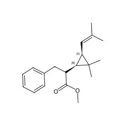 COC(=O)C(Cc1ccccc1)[C@H]1[C@@H](C=C(C)C)C1(C)C